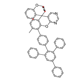 Cc1ccc2c(c1-c1ccc(-c3c(-c4ccccc4)cc(-c4ccccc4)cc3-c3ccccc3)cc1)Oc1ncncc1C21c2ccccc2Oc2ccccc21